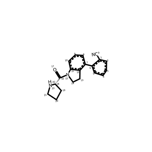 N#Cc1ccccc1-c1cccc2c1CCN2C(=O)[C@@H]1CCCN1